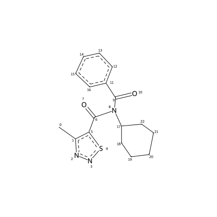 Cc1nnsc1C(=O)N(C(=O)c1ccccc1)C1CCCCC1